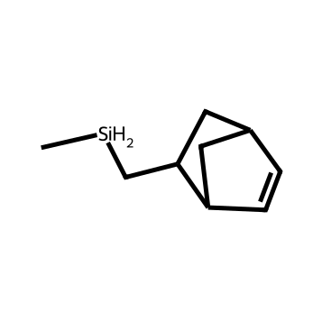 C[SiH2]CC1CC2C=CC1C2